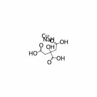 O=C(O)CC(O)(CC(=O)O)C(=O)O.[Cu].[NaH]